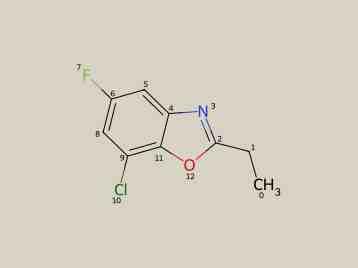 CCc1nc2cc(F)cc(Cl)c2o1